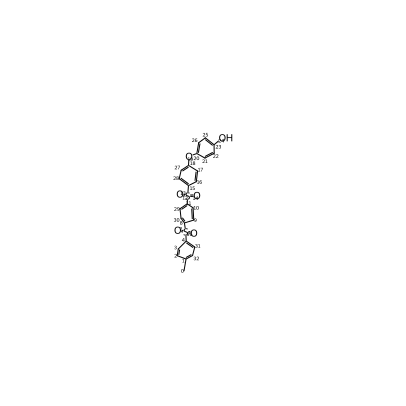 Cc1ccc(S(=O)(=O)c2ccc(S(=O)(=O)c3ccc(Oc4ccc(O)cc4)cc3)cc2)cc1